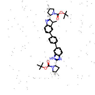 CC1C([C@@H]2C[C@H](C)CN2C(=O)OC(C)(C)C)=Nc2ccc(-c3ccc(-c4ccc5nc([C@@H]6C[C@H](C)CN6C(=O)OC(C)(C)C)[nH]c5c4)cc3)cc21